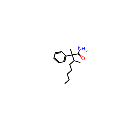 CCCCCC(C)C(C)(C(N)=O)c1ccccc1